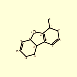 CC1CC=CC2=C1OC1C=CCCC21